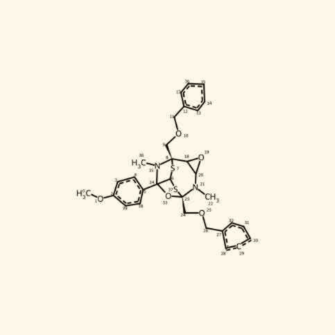 COc1ccc(C2S[C@@]3(COCc4ccccc4)C4OC4N(C)[C@](COCc4ccccc4)(OCN3C)S2)cc1